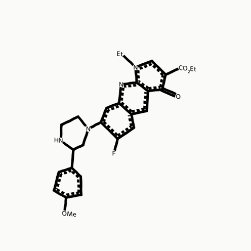 CCOC(=O)c1cn(CC)c2nc3cc(N4CCNC(c5ccc(OC)cc5)C4)c(F)cc3cc2c1=O